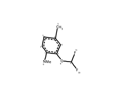 CNc1ccc(C)cc1OC(F)F